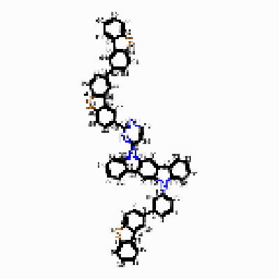 c1cc(-c2ccc3sc4ccccc4c3c2)cc(-n2c3ccccc3c3cc4c(cc32)c2ccccc2n4-c2ccnc(-c3ccc4sc5ccc(-c6ccc7sc8ccccc8c7c6)cc5c4c3)n2)c1